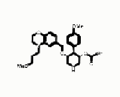 COCCCN1CCOc2ccc(CO[C@H]3CNC[C@@H](OC(=O)C(C)C)[C@@H]3c3ccc(OC)cc3)cc21